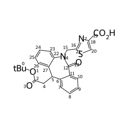 CC(C)(C)OC(=O)CC1c2ccccc2C(=O)N(Cc2nc(C(=O)O)cs2)c2ccccc21